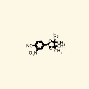 CC1(C)OB(c2ccc(C#N)c([N+](=O)[O-])c2)OC1(C)C